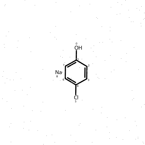 Oc1ccc(Cl)cc1.[Na]